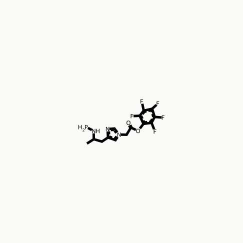 CC(Cc1cn(CC(=O)Oc2c(F)c(F)c(F)c(F)c2F)cn1)NP